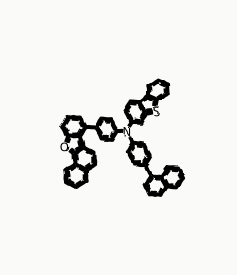 c1ccc2c(-c3ccc(N(c4ccc(-c5cccc6oc7c8ccccc8ccc7c56)cc4)c4ccc5c(c4)sc4ccccc45)cc3)cccc2c1